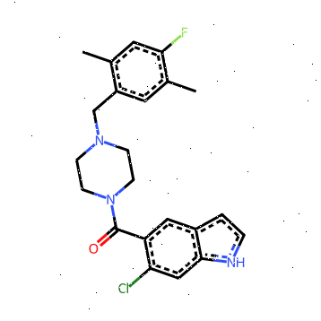 Cc1cc(CN2CCN(C(=O)c3cc4cc[nH]c4cc3Cl)CC2)c(C)cc1F